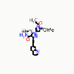 C=CC(=O)N1C[C@@H](n2nc(C#Cc3ccc4cccnc4c3)c(C(N)=O)c2NC)C/C1=C\OC